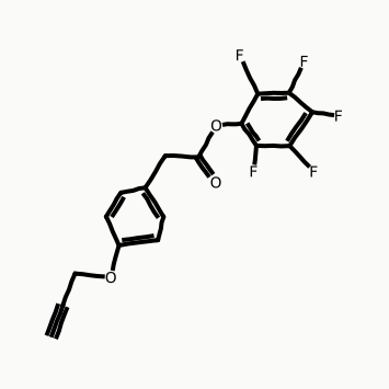 C#CCOc1ccc(CC(=O)Oc2c(F)c(F)c(F)c(F)c2F)cc1